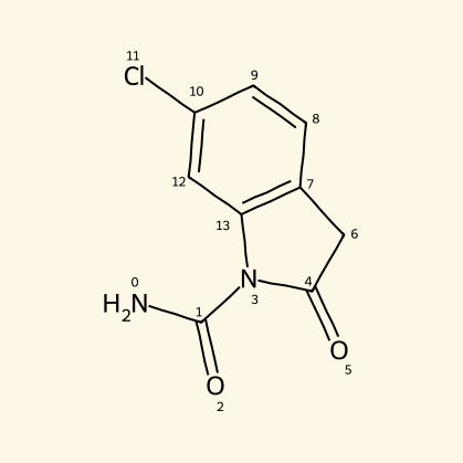 NC(=O)N1C(=O)Cc2ccc(Cl)cc21